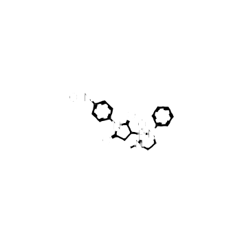 CN1CCN(c2ccccc2)P1(=O)C1CC(=O)N(c2ccc([N+](=O)[O-])cc2)C1=O